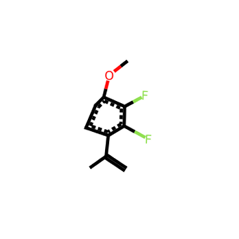 C=C(C)c1ccc(OC)c(F)c1F